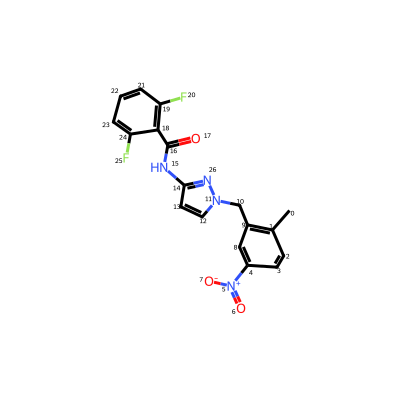 Cc1ccc([N+](=O)[O-])cc1Cn1ccc(NC(=O)c2c(F)cccc2F)n1